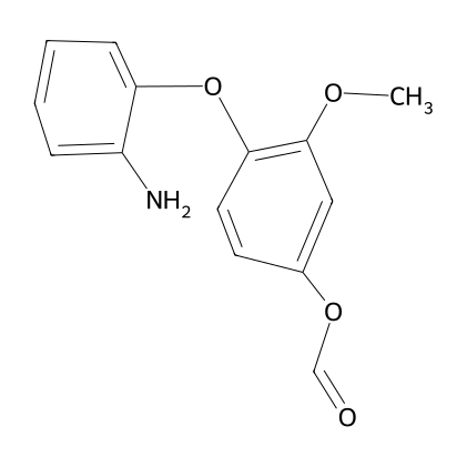 COc1cc(OC=O)ccc1Oc1ccccc1N